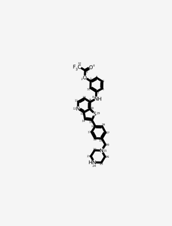 O=C(Oc1cccc(Nc2ccnc3cc(-c4ccc(CN5CCNCC5)cc4)sc23)c1)C(F)(F)F